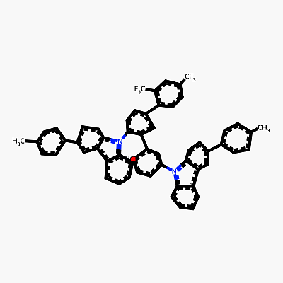 Cc1ccc(-c2ccc3c(c2)c2ccccc2n3-c2ccc(C#N)c(-c3cc(-c4ccc(C(F)(F)F)cc4C(F)(F)F)ccc3-n3c4ccccc4c4cc(-c5ccc(C)cc5)ccc43)c2)cc1